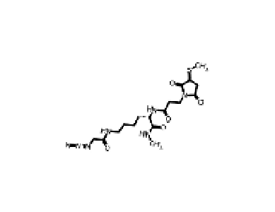 CNC(=O)[C@H](CCCCNC(=O)CN=[N+]=[N-])NC(=O)CCN1C(=O)CC(SC)C1=O